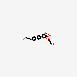 CCCCCOC(=O)[C@@]1(C)CC[C@@H](C2CCC([C@H]3CC[C@H](CCCCC)CC3)CC2)CC1=O